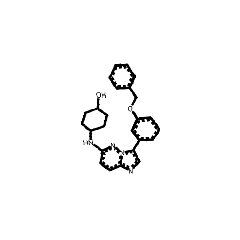 OC1CCC(Nc2ccc3ncc(-c4cccc(OCc5ccccc5)c4)n3n2)CC1